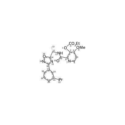 CCOC(=O)Oc1c(OC)ccnc1C(=O)N[C@@H](C)c1nc(-c2cccc(C(C)C)c2)no1